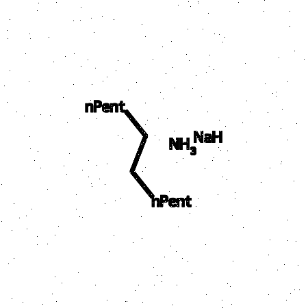 N.[CH2]CCCCCCCCCCC.[NaH]